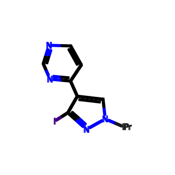 CC(C)n1cc(-c2ccncn2)c(I)n1